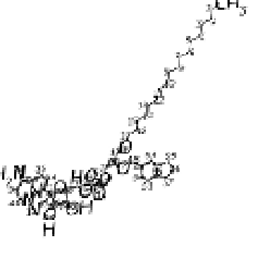 CCCCCCCCCCCCCCCCCCOC[C@H](COP(=O)(O)OC[C@H]1O[C@@](C#N)(c2ccc3c(N)ccnn23)[C@H](O)[C@@H]1O)OCc1ccc2c(c1)CCC2